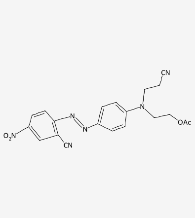 CC(=O)OCCN(CCC#N)c1ccc(N=Nc2ccc([N+](=O)[O-])cc2C#N)cc1